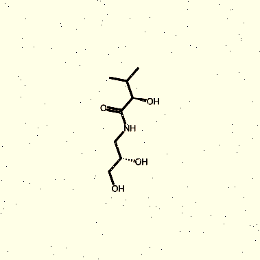 CC(C)[C@@H](O)C(=O)NC[C@H](O)CO